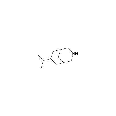 CC(C)N1CC2CNCC(C2)C1